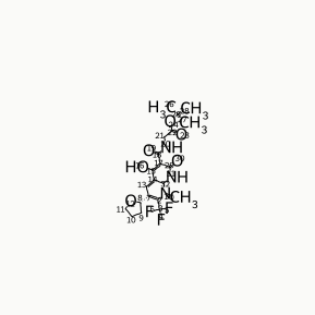 CN1C(C(F)(F)F)=C([C@@H]2CCCO2)C=C2C(O)=C(C(=O)NCC(=O)OC(C)(C)C)C(=O)NC21